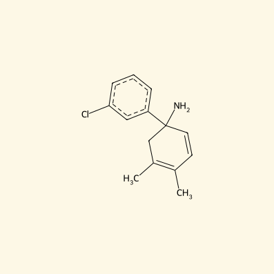 CC1=C(C)CC(N)(c2cccc(Cl)c2)C=C1